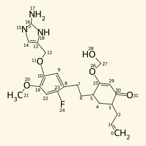 C=CCC1CC(CCc2cc(OCc3cnc(N)[nH]3)c(OC)cc2F)C(OCO)=CC1=O